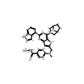 CN(Cc1cc2nc(-c3cccc4[nH]ncc34)nc(N3CC4CCC(C3)O4)c2s1)c1ncc(C(=O)NO)cn1